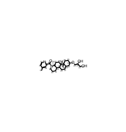 Cc1ccnc(C(=O)N2CCCC3C4CCC5C[C@@H](OC[C@H](O)CO)CCC5(C)[C@H]4CC[C@@]32C)c1